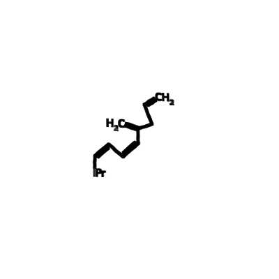 C=CCC(=C)/C=C\C=C/C(C)C